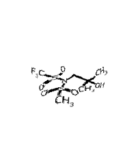 CC(C)(O)CN(S(C)(=O)=O)S(=O)(=O)C(F)(F)F